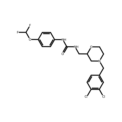 O=C(NCC1CN(Cc2ccc(Cl)c(Cl)c2)CCO1)Nc1ccc(OC(F)F)cc1